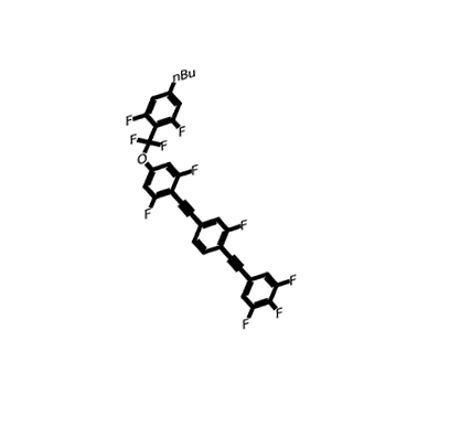 CCCCc1cc(F)c(C(F)(F)Oc2cc(F)c(C#Cc3ccc(C#Cc4cc(F)c(F)c(F)c4)c(F)c3)c(F)c2)c(F)c1